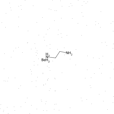 NCCN.[BeH2]